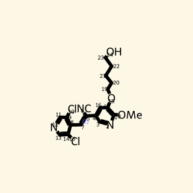 COc1ncc(/C(C#N)=C/c2c(Cl)cncc2Cl)cc1OCCCCCO